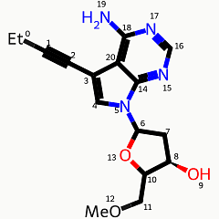 CCC#Cc1cn(C2C[C@@H](O)C(COC)O2)c2ncnc(N)c12